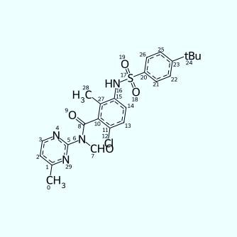 Cc1ccnc(N(C=O)C(=O)c2c(Cl)ccc(NS(=O)(=O)c3ccc(C(C)(C)C)cc3)c2C)n1